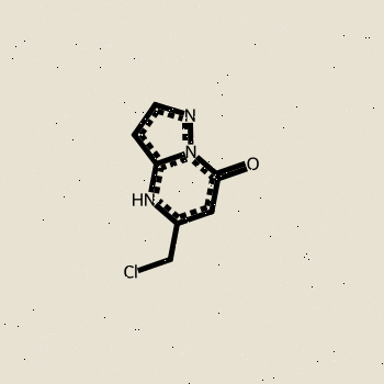 O=c1cc(CCl)[nH]c2ccnn12